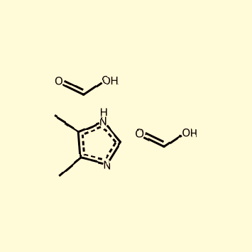 Cc1nc[nH]c1C.O=CO.O=CO